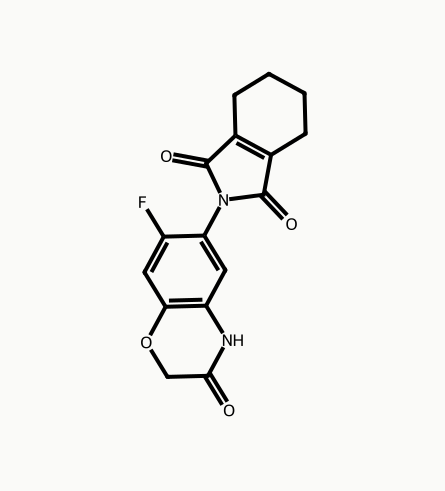 O=C1COc2cc(F)c(N3C(=O)C4=C(CCCC4)C3=O)cc2N1